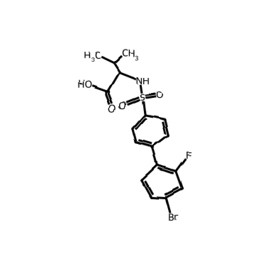 CC(C)C(NS(=O)(=O)c1ccc(-c2ccc(Br)cc2F)cc1)C(=O)O